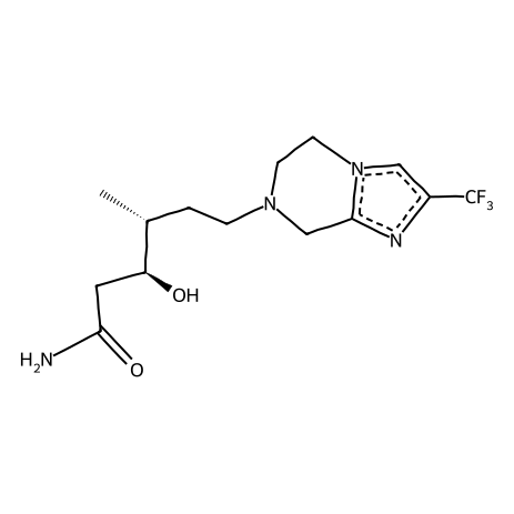 C[C@H](CCN1CCn2cc(C(F)(F)F)nc2C1)[C@@H](O)CC(N)=O